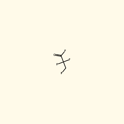 O=C(F)C(F)(F)CF